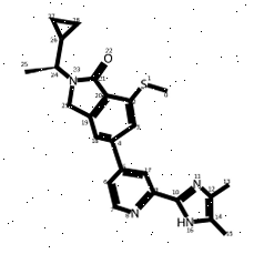 CSc1cc(-c2ccnc(-c3nc(C)c(C)[nH]3)c2)cc2c1C(=O)N([C@@H](C)C1CC1)C2